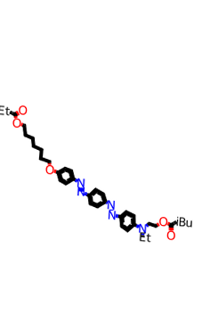 CCC(=O)OCCCCCCCOc1ccc(N=Nc2ccc(N=Nc3ccc(N(CC)CCOC(=O)C(C)CC)cc3)cc2)cc1